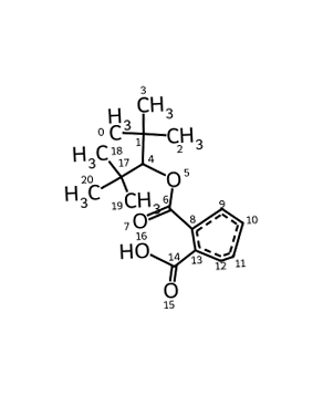 CC(C)(C)C(OC(=O)c1ccccc1C(=O)O)C(C)(C)C